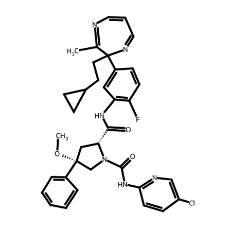 CO[C@]1(c2ccccc2)C[C@H](C(=O)Nc2cc(C3(CCC4CC4)N=CC=CN=C3C)ccc2F)N(C(=O)Nc2ccc(Cl)cn2)C1